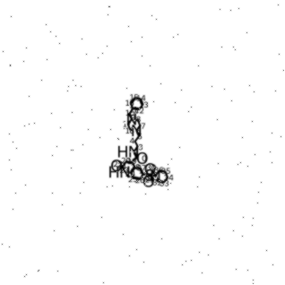 O=C(NCCCN1CCN(Cc2ccccc2)CC1)c1cc(=O)[nH]c2ccc(S(=O)(=O)N3CCCCC3)cc12